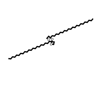 CCCCCCCCCCCCCCCCCCCCCC1(OC2(CCCCCCCCCCCCCCCCCCCCC)CCO2)CCO1